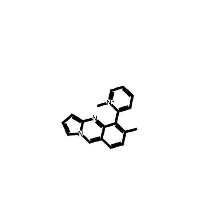 Cc1ccc2cn3cccc3nc2c1-c1cccc[n+]1C